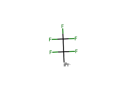 C[C](C)C(F)(F)C(F)(F)F